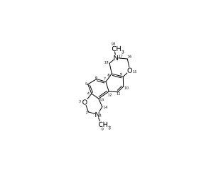 CN1COc2ccc3c4c(ccc3c2C1)OCN(C)C4